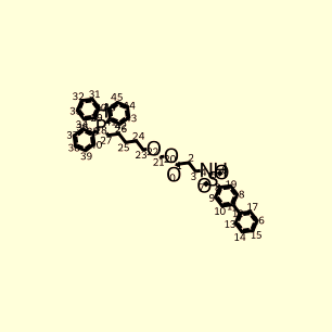 O=C(CCNS(=O)(=O)c1ccc(-c2ccccc2)cc1)OCOCCCCC[PH](c1ccccc1)(c1ccccc1)c1ccccc1